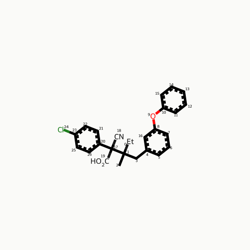 CCC(C)(Cc1cccc(Oc2ccccc2)c1)C(C#N)(C(=O)O)c1ccc(Cl)cc1